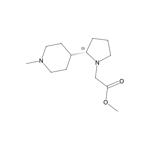 COC(=O)CN1CCC[C@H]1C1CCN(C)CC1